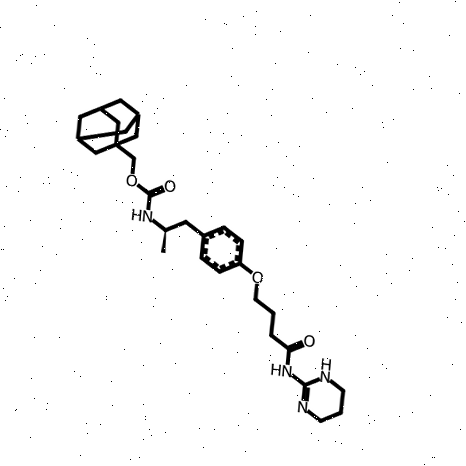 C[C@H](Cc1ccc(OCCCC(=O)NC2=NCCCN2)cc1)NC(=O)OCC12CC3CC(CC(C3)C1)C2